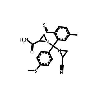 CSc1ccc(C(c2cc(C)ccc2C=S)(N2CC2C#N)N2CC2C(N)=O)cc1